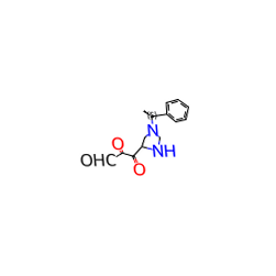 C[C@@H](c1ccccc1)N1CNC(C(=O)C(=O)C=O)C1